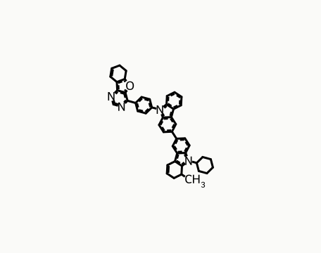 CC1CC=Cc2c1n(C1CCCCC1)c1ccc(-c3ccc4c(c3)c3ccccc3n4-c3ccc(-c4ncnc5c6c(oc45)CCC=C6)cc3)cc21